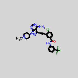 CN1CCC(n2nc(C#Cc3cc(C(=O)Nc4cccc(C(F)(F)F)c4)ccc3Cl)c3c(N)ncnc32)CC1